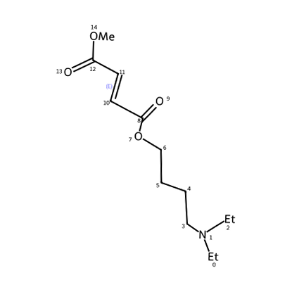 CCN(CC)CCCCOC(=O)/C=C/C(=O)OC